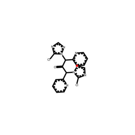 O=C(C(c1ccccn1)n1ncnc1Cl)C(c1ccccn1)n1ncnc1Cl